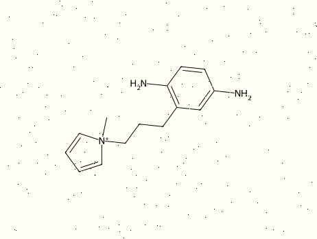 C[N+]1(CCCc2cc(N)ccc2N)C=CC=C1